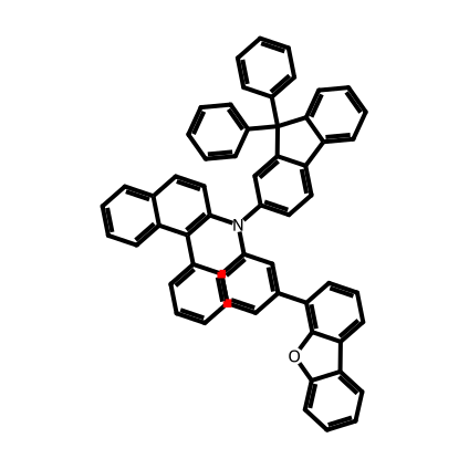 c1ccc(-c2c(N(c3cccc(-c4cccc5c4oc4ccccc45)c3)c3ccc4c(c3)C(c3ccccc3)(c3ccccc3)c3ccccc3-4)ccc3ccccc23)cc1